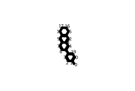 Cc1ccc(-c2ccc3cc4c(cc3c2)CCCC4)cc1